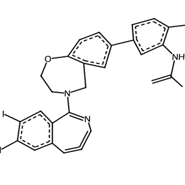 C=C(C)Nc1cc(-c2ccc3c(c2)CN(C2=NC=C=Cc4cc(Cl)c(I)cc42)CCO3)ccc1C